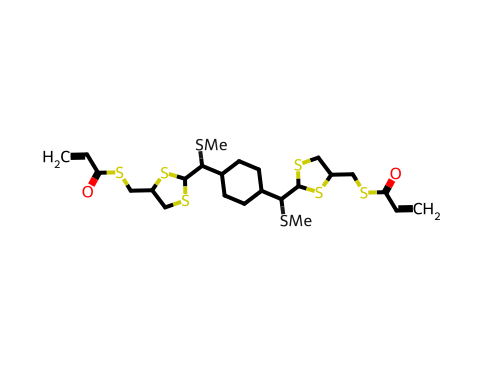 C=CC(=O)SCC1CSC(C(SC)C2CCC(C(SC)C3SCC(CSC(=O)C=C)S3)CC2)S1